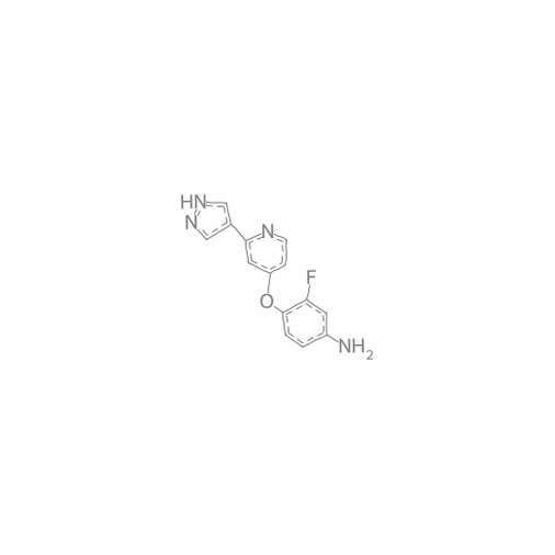 Nc1ccc(Oc2ccnc(-c3cn[nH]c3)c2)c(F)c1